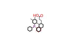 Cc1cc(-c2c(CCC(=O)O)ccc3ccccc23)c(P(c2ccccc2)c2ccccc2)cc1C